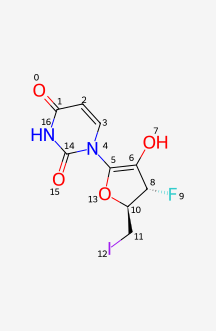 O=c1ccn(C2=C(O)[C@H](F)[C@@H](CI)O2)c(=O)[nH]1